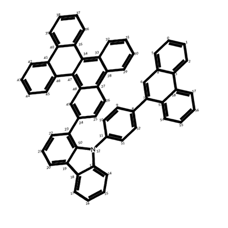 c1ccc2c(c1)cc(-c1ccc(-n3c4ccccc4c4cccc(-c5ccc6c7ccccc7c7c8ccccc8c8ccccc8c7c6c5)c43)cc1)c1ccccc12